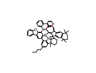 CCCCc1cc2c3c(c1)C1(C)CCCCC1(C)N3B1C3=C4C(=CC#CC3N(c3ccccc3C3=CCCC=C3)c3c1c-2cc1c3oc2ccccc21)c1cc2c(cc1C4(C)C)C(C)(C)CCC2(C)C